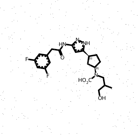 CC(CO)CN(C(=O)O)[C@@H]1CC[C@H](c2cc(NC(=O)Cc3cc(F)cc(F)c3)n[nH]2)C1